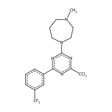 CN1CCCN(c2nc(-c3cccc(C(F)(F)F)c3)nc(C(Cl)(Cl)Cl)n2)CC1